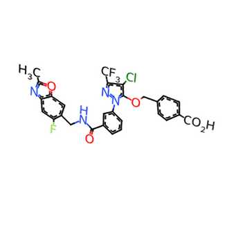 Cc1nc2cc(F)c(CNC(=O)c3cccc(-n4nc(C(F)(F)F)c(Cl)c4OCc4ccc(C(=O)O)cc4)c3)cc2o1